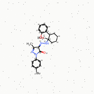 CC1=NN(c2ccc(C(C)(C)C)cc2)C(=O)/C1=N\NC1(C(=O)O)CCCCC1c1ccccc1O